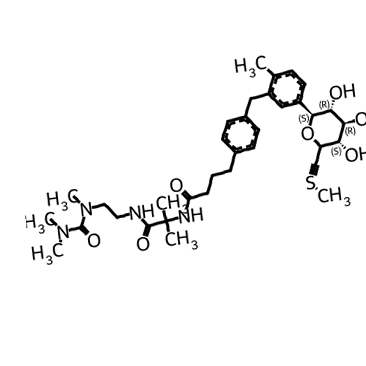 CS#CC1O[C@@H](c2ccc(C)c(Cc3ccc(CCCC(=O)NC(C)(C)C(=O)NCCN(C)C(=O)N(C)C)cc3)c2)[C@H](O)[C@@H](O)[C@@H]1O